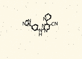 N#Cc1cnc(Nc2ccc(-n3cncn3)cc2)nc1-c1ccccn1